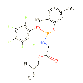 CCC(CC)COC(=O)CNP(Oc1cc(C)ccc1C(C)C)Oc1c(F)c(F)c(F)c(F)c1F